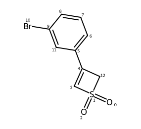 O=S1(=O)C=C(c2cccc(Br)c2)C1